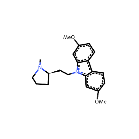 COc1ccc2c3ccc(OC)cc3n(CC[C@H]3CCCN3C)c2c1